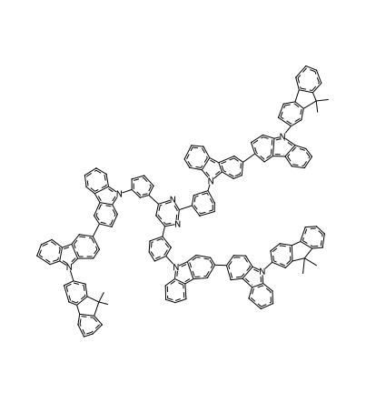 CC1(C)c2ccccc2-c2ccc(-n3c4ccccc4c4cc(-c5ccc6c(c5)c5ccccc5n6-c5cccc(-c6cc(-c7cccc(-n8c9ccccc9c9cc(-c%10ccc%11c(c%10)c%10ccccc%10n%11-c%10ccc%11c(c%10)C(C)(C)c%10ccccc%10-%11)ccc98)c7)nc(-c7cccc(-n8c9ccccc9c9cc(-c%10ccc%11c(c%10)c%10ccccc%10n%11-c%10ccc%11c(c%10)C(C)(C)c%10ccccc%10-%11)ccc98)c7)n6)c5)ccc43)cc21